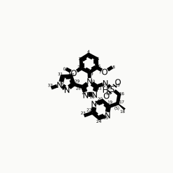 COc1cccc(OC)c1-n1c(NS(=O)(=O)C[C@@H](C)c2cnc(C)cn2)nnc1-c1ccn(C)n1